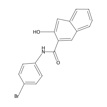 O=C(Nc1ccc(Br)cc1)c1cc2ccccc2cc1O